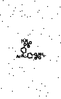 CC(=O)N(Cc1ccc(OS(N)(=O)=O)cc1)c1ccc(OS(N)(=O)=O)cc1